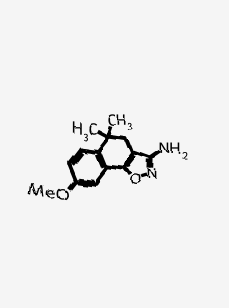 COc1ccc2c(c1)-c1onc(N)c1CC2(C)C